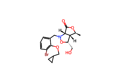 C[C@@H]1OC(=O)[C@@H]2[C@H]1[C@H](CO)ON2Cc1cccc(Br)c1OCC1CC1